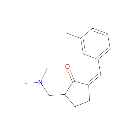 Cc1cccc(C=C2CCC(CN(C)C)C2=O)c1